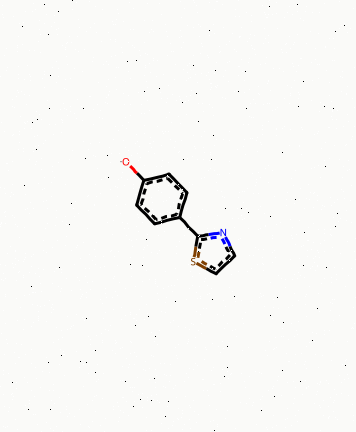 [O]c1ccc(-c2nccs2)cc1